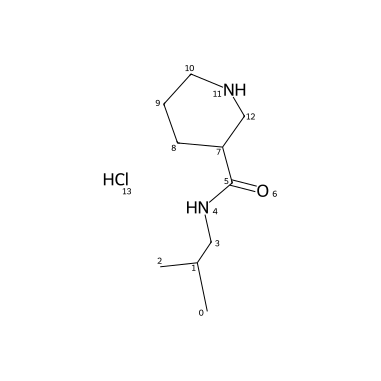 CC(C)CNC(=O)C1CCCNC1.Cl